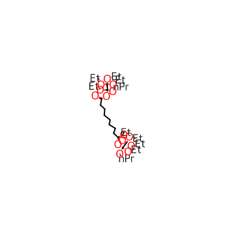 CCCOC(OCC)(OC(=O)CCCCCCCC(=O)OC(OCC)(OCCC)C(OCC)(OCC)OCC)C(OCC)(OCC)OCC